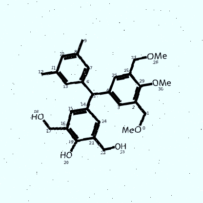 COCc1cc(C(c2cc(C)cc(C)c2)c2cc(CO)c(O)c(CO)c2)cc(COC)c1OC